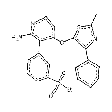 CCS(=O)(=O)c1cccc(-c2c(Oc3sc(C)nc3-c3ccccc3)ccnc2N)c1